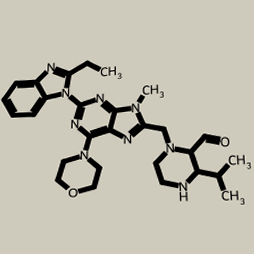 CCc1nc2ccccc2n1-c1nc(N2CCOCC2)c2nc(CN3CCNC(C(C)C)C3C=O)n(C)c2n1